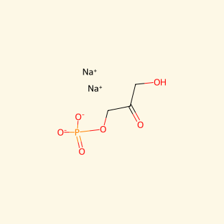 O=C(CO)COP(=O)([O-])[O-].[Na+].[Na+]